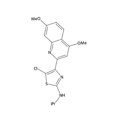 COc1ccc2c(OC)cc(-c3nc(NC(C)C)sc3Cl)nc2c1